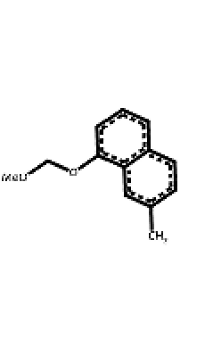 COCOc1cccc2ccc(C)cc12